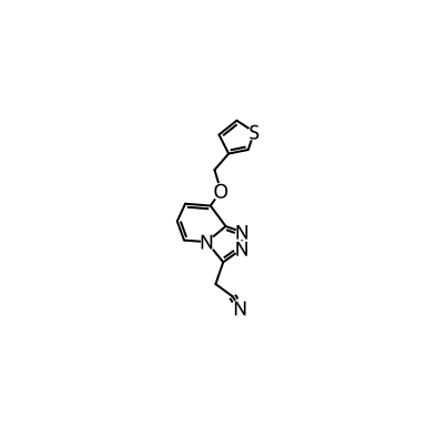 N#CCc1nnc2c(OCc3ccsc3)cccn12